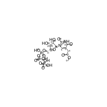 COC(=O)Cc1cn([C@@H]2O[C@H](COP(=O)(O)OP(=O)(O)OP(=O)(O)O)[C@H](O)C2O)c(=O)[nH]c1=O